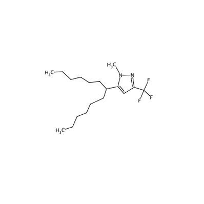 CCCCCCC(CCCCCC)c1cc(C(F)(F)F)nn1C